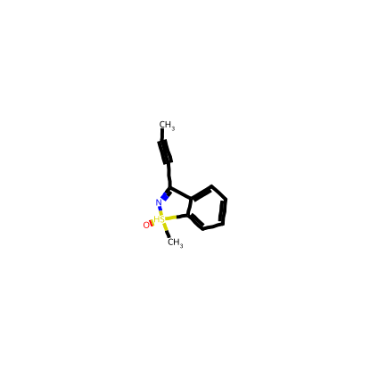 CC#CC1=N[SH](C)(=O)c2ccccc21